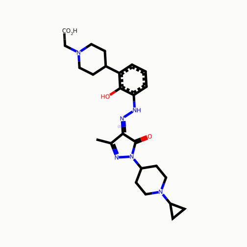 CC1=NN(C2CCN(C3CC3)CC2)C(=O)/C1=N\Nc1cccc(C2CCN(CC(=O)O)CC2)c1O